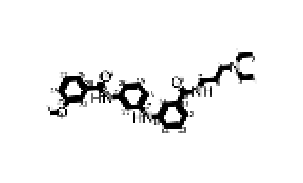 CCN(CC)CCCNC(=O)c1cccc(Nc2cccc(NC(=O)c3cccc(OC)c3)c2)c1